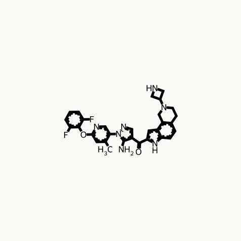 Cc1cc(Oc2c(F)cccc2F)ncc1-n1ncc(C(=O)c2cc3c4c(ccc3[nH]2)CCN(C2CNC2)C4)c1N